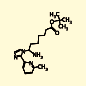 Cc1cccc(-c2nccn2C(N)CCCCCC(=O)OC(C)(C)C)n1